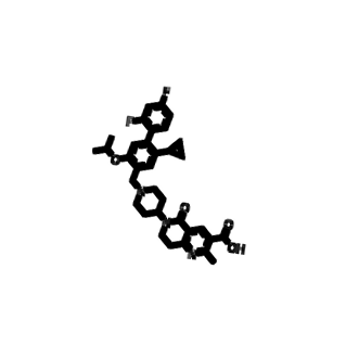 Cc1nc2c(cc1C(=O)O)C(=O)N(C1CCN(Cc3cc(C4CC4)c(-c4ccc(F)cc4F)cc3OC(C)C)CC1)CC2